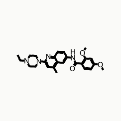 CCN1CCN(c2cc(C)c3cc(NC(=O)c4ccc(OC)cc4OC)ccc3n2)CC1